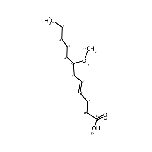 CCCCCC(C/C=C/CCC(=O)O)OC